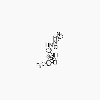 O=C(NCc1cccnc1)Nc1cccc(NS(=O)(=O)c2cc(C(F)(F)F)ccc2Cl)c1